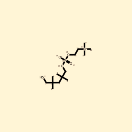 CC(C)(CS)CC(C)(C)COP(=O)([O-])OCC[N+](C)(C)C